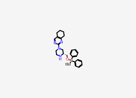 CC(C)(C)[Si](OC[C@H]1CN(c2ncc3c(n2)CCCC3)CCN1)(c1ccccc1)c1ccccc1